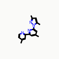 Cc1ccnc(-c2cc(C)cc(-n3nc(C)cc3C)n2)c1